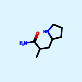 CC(CC1CCCN1)C(N)=O